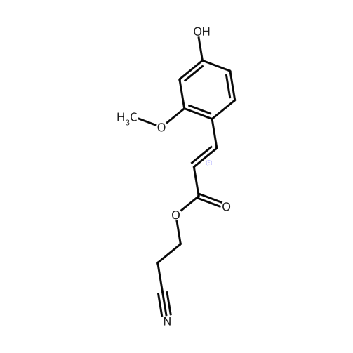 COc1cc(O)ccc1/C=C/C(=O)OCCC#N